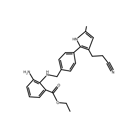 CCOC(=O)c1cccc(N)c1NCc1ccc(-c2[nH]c(C)cc2CCC#N)cc1